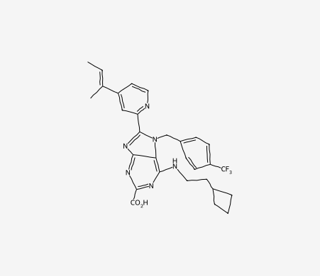 C/C=C(\C)c1ccnc(-c2nc3nc(C(=O)O)nc(NCCC4CCC4)c3n2Cc2ccc(C(F)(F)F)cc2)c1